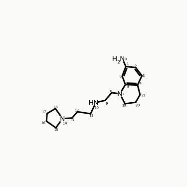 Nc1ccc2c(c1)N(CCNCCCN1CCCC1)CCC2